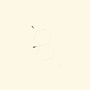 CCC[C@H]1CCC2C[C@H](C=O)CC[C@@H]2C1